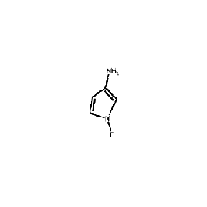 Nc1ccn(F)c1